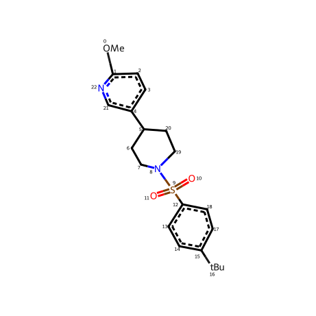 COc1ccc(C2CCN(S(=O)(=O)c3ccc(C(C)(C)C)cc3)CC2)cn1